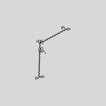 CC(C)C(CCCCCCCCCCCCCCCCC[SiH2]OC(=O)CCCC(=O)O[SiH2]CCCCCCCCCCCCCCCCCC(C(C)C)C(C)C)C(C)C